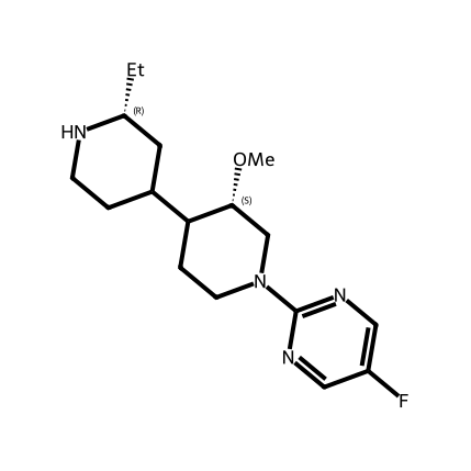 CC[C@@H]1CC(C2CCN(c3ncc(F)cn3)C[C@H]2OC)CCN1